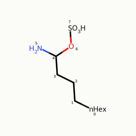 CCCCCCCCCC(N)OS(=O)(=O)O